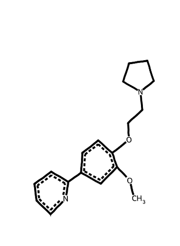 COc1cc(-c2ccc[c]n2)ccc1OCCN1CCCC1